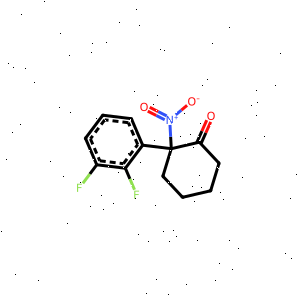 O=C1CCCCC1(c1cccc(F)c1F)[N+](=O)[O-]